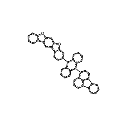 c1ccc2c(c1)-c1cccc3c(-c4c5ccccc5c(-c5ccc6c(c5)oc5cc7oc8ccccc8c7cc56)c5ccccc45)ccc-2c13